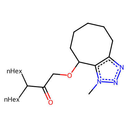 CCCCCCC(CCCCCC)C(=O)COC1CCCCCc2nnn(C)c21